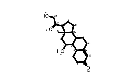 CC12CC(O)C3C4CCC(=O)C=C4CCC3C1CCC2C(=O)CO